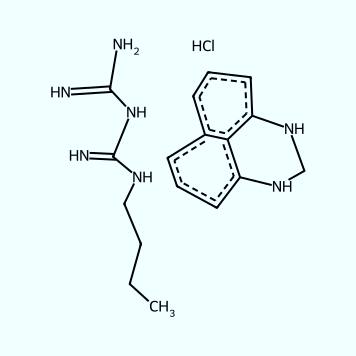 CCCCNC(=N)NC(=N)N.Cl.c1cc2c3c(cccc3c1)NCN2